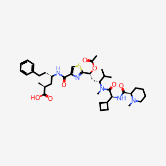 CC(=O)O[C@H](C[C@H](C(C)C)N(C)C(=O)[C@@H](NC(=O)[C@H]1CCCCN1C)C1CCC1)c1nc(C(=O)N[C@@H](CCc2ccccc2)C[C@H](C)C(=O)O)cs1